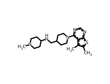 Cc1sc2ncnc(N3CCC(CNC4CCN(C)CC4)CC3)c2c1C